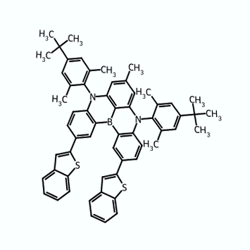 Cc1cc2c3c(c1)N(c1c(C)cc(C(C)(C)C)cc1C)c1ccc(-c4cc5ccccc5s4)cc1B3c1cc(-c3cc4ccccc4s3)ccc1N2c1c(C)cc(C(C)(C)C)cc1C